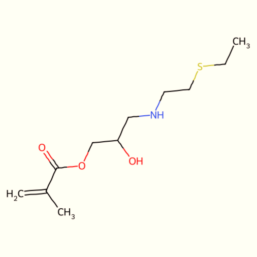 C=C(C)C(=O)OCC(O)CNCCSCC